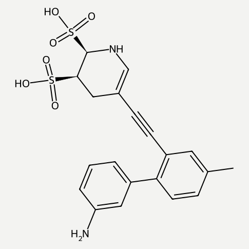 Cc1ccc(-c2cccc(N)c2)c(C#CC2=CN[C@H](S(=O)(=O)O)[C@H](S(=O)(=O)O)C2)c1